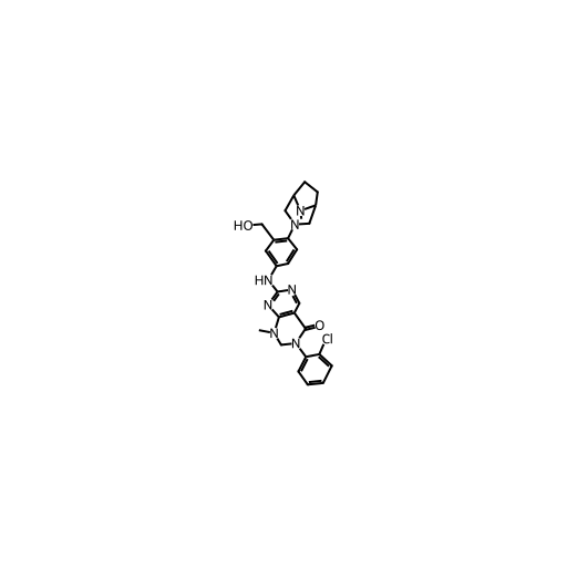 CN1CN(c2ccccc2Cl)C(=O)c2cnc(Nc3ccc(N4CC5CCC(C4)N5C)c(CO)c3)nc21